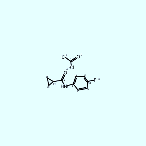 O=C(Cl)Cl.O=C(Nc1ccc(F)cc1)C1CC1